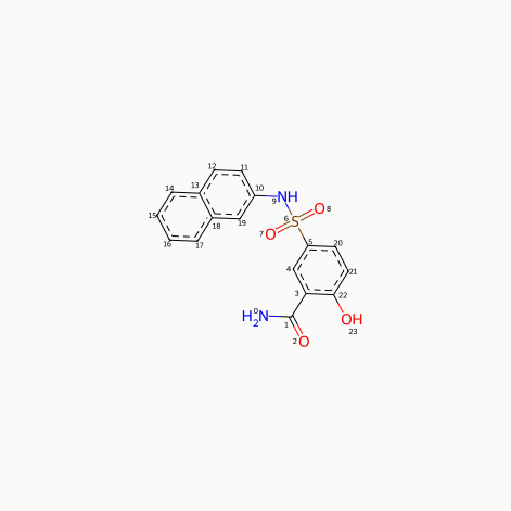 NC(=O)c1cc(S(=O)(=O)Nc2ccc3ccccc3c2)ccc1O